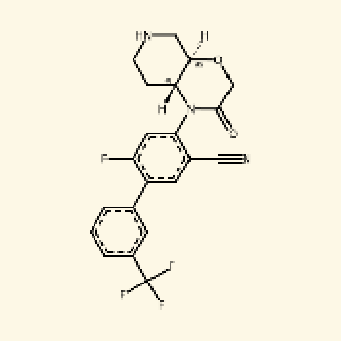 N#Cc1cc(-c2cccc(C(F)(F)F)c2)c(F)cc1N1C(=O)CO[C@@H]2CNCC[C@H]21